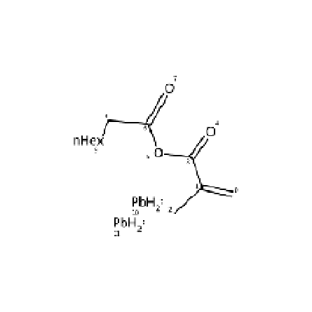 C=C(C)C(=O)OC(=O)CCCCCCC.[PbH2].[PbH2]